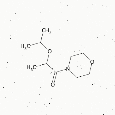 CC(C)OC(C)C(=O)N1CCOCC1